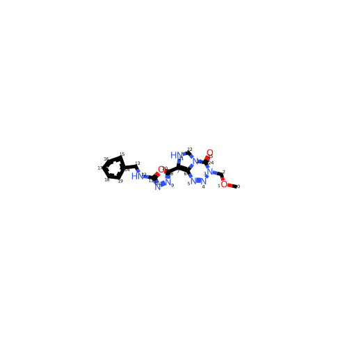 COCN1N=NC2=C(c3nnc(NCc4ccccc4)o3)NCN2C1=O